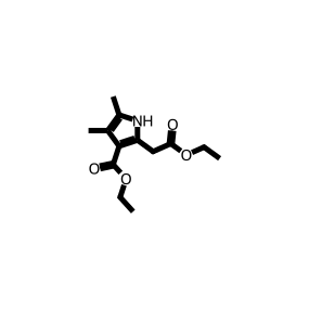 CCOC(=O)Cc1[nH]c(C)c(C)c1C(=O)OCC